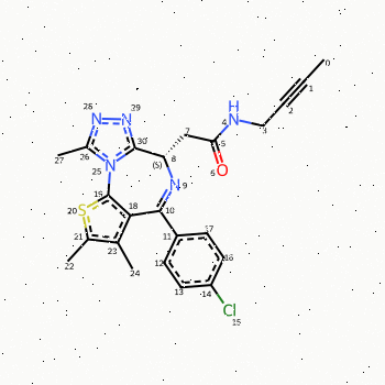 CC#CCNC(=O)C[C@@H]1N=C(c2ccc(Cl)cc2)c2c(sc(C)c2C)-n2c(C)nnc21